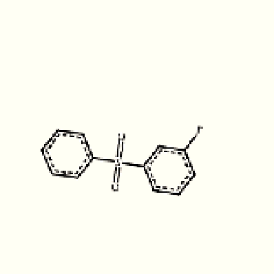 O=S(=O)(c1ccccc1)c1cccc(F)c1